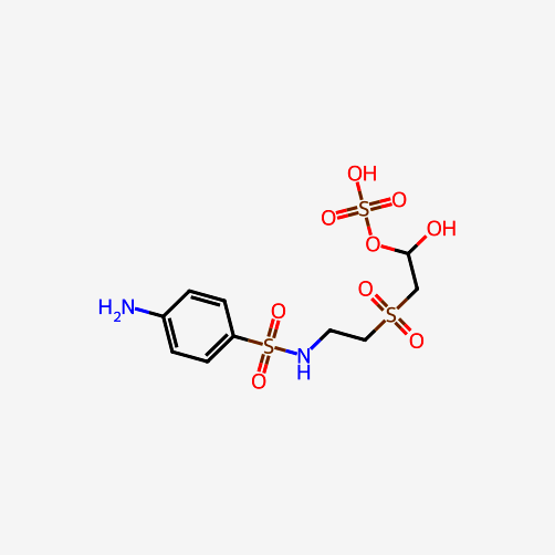 Nc1ccc(S(=O)(=O)NCCS(=O)(=O)CC(O)OS(=O)(=O)O)cc1